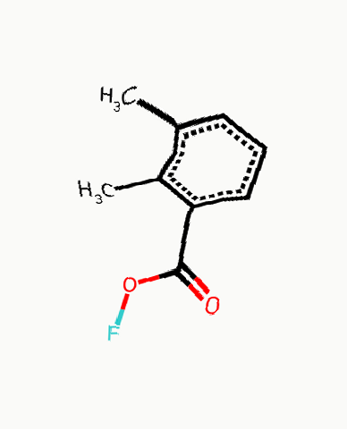 Cc1cccc(C(=O)OF)c1C